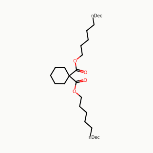 CCCCCCCCCCCCCCCOC(=O)C1(C(=O)OCCCCCCCCCCCCCCC)CCCCC1